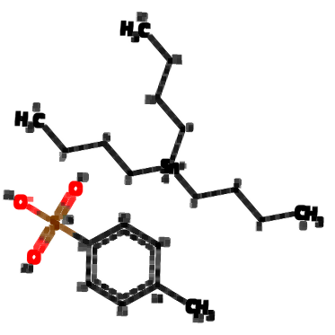 CCC[CH2][Sn+]([CH2]CCC)[CH2]CCC.Cc1ccc(S(=O)(=O)[O-])cc1